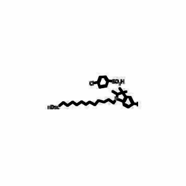 CCCCCCCCCCCCCCCCCCCCCCN1c2ccc(I)cc2C(C)(C)C1C.O=S(=O)(O)c1ccc(Cl)cc1